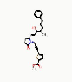 COC(=O)c1ccc(C#CCN2C(=O)CC[C@@H]2/C=C/[C@@H](O)[C@@H](C)CCCc2ccccc2)s1